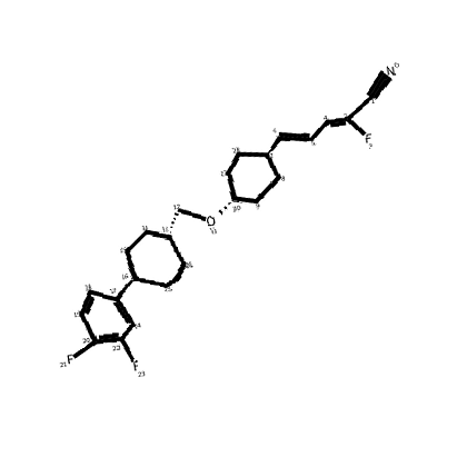 N#C/C(F)=C/C=C/[C@H]1CC[C@H](OC[C@H]2CC[C@H](c3ccc(F)c(F)c3)CC2)CC1